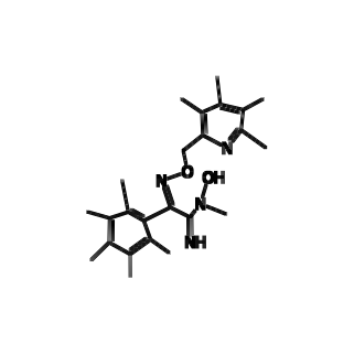 Cc1nc(CON=C(C(=N)N(C)O)c2c(C)c(C)c(C)c(C)c2C)c(C)c(C)c1C